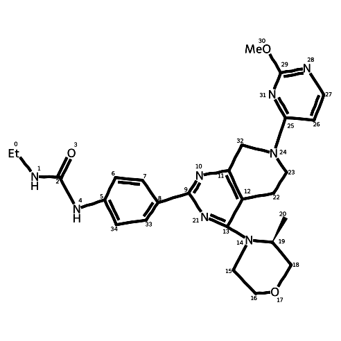 CCNC(=O)Nc1ccc(-c2nc3c(c(N4CCOC[C@@H]4C)n2)CCN(c2ccnc(OC)n2)C3)cc1